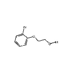 CCOCCOc1ccccc1O